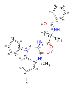 CN1C(=O)[C@H](NC(=O)C(C)(C)NC(=O)c2ccccc2)CN(c2ccccc2)c2ccc(F)cc21